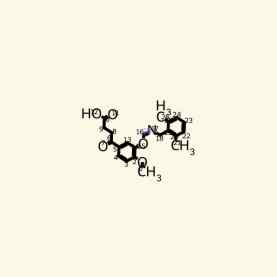 COc1ccc(C(=O)CCC(=O)O)cc1O/C=N\Cc1c(C)cccc1C